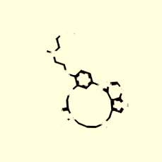 CCN(CCOC)CCOc1ccc2cc1OCC(=O)N(C)CCCN(C)Cc1c[nH]c3c1/C(=N\2)N=CN3